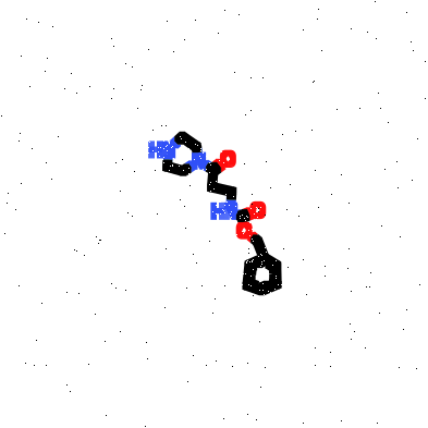 O=C(NCCC(=O)N1CCNCC1)OCc1ccccc1